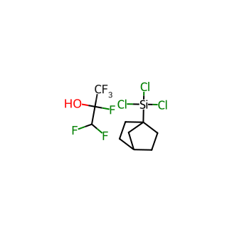 Cl[Si](Cl)(Cl)C12CCC(CC1)C2.OC(F)(C(F)F)C(F)(F)F